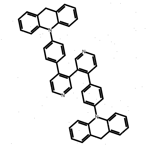 c1ccc2c(c1)Cc1ccccc1N2c1ccc(-c2ccncc2-c2cnccc2-c2ccc(N3c4ccccc4Cc4ccccc43)cc2)cc1